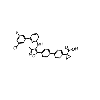 Cc1noc(-c2ccc(-c3ccc(C4(C(=O)O)CC4)cc3)cc2)c1NC1CC=CC(c2cc(F)cc(Cl)c2)=N1